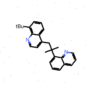 CC(C)(C)c1cccc2c(CC(C)(C)c3cccc4cccnc34)ccnc12